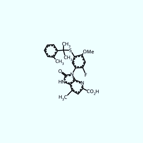 COc1cc(F)c(-n2c(=O)[nH]c3c(C)cc(C(=O)O)nc32)cc1SC(C)(C)c1ccccc1C